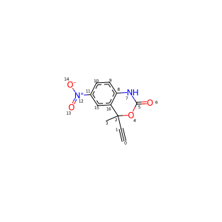 C#CC1(C)OC(=O)Nc2ccc([N+](=O)[O-])cc21